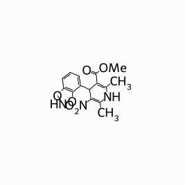 COC(=O)C1=C(C)NC(C)=C([N+](=O)[O-])C1c1cccc2c1ONO2